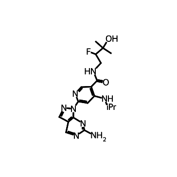 CC(C)Nc1cc(-n2ncc3cnc(N)nc32)ncc1C(=O)NCC(F)C(C)(C)O